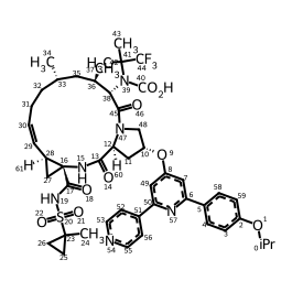 CC(C)Oc1ccc(-c2cc(O[C@@H]3C[C@H]4C(=O)N[C@]5(C(=O)NS(=O)(=O)C6(C)CC6)C[C@H]5C=CCC[C@H](C)C[C@@H](C)[C@H](N(C(=O)O)C(C)(C)C(F)(F)F)C(=O)N4C3)cc(-c3ccncc3)n2)cc1